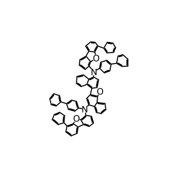 c1ccc(-c2ccc(N(c3cc4c(oc5cc(N(c6ccc(-c7ccccc7)cc6)c6cccc7c6oc6c(-c8ccccc8)cccc67)c6ccccc6c54)c4ccccc34)c3cccc4c3oc3c(-c5ccccc5)cccc34)cc2)cc1